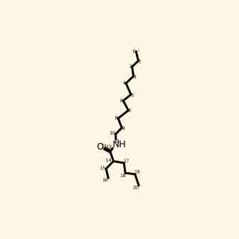 [CH2]CCCCCCCCCCNC(=O)C(CC)CCCC